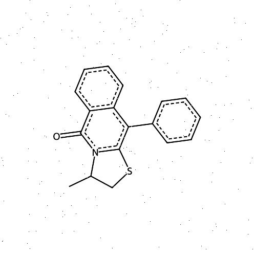 CC1CSc2c(-c3ccccc3)c3ccccc3c(=O)n21